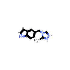 Cc1nncn1Cc1ccc2[nH]c[c]c2c1